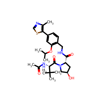 CC(=O)N[C@H](C(=O)N1C[C@H](O)C[C@H]1C(=O)NCc1ccc(-c2scnc2C)cc1OC(C)C)C(C)(C)C